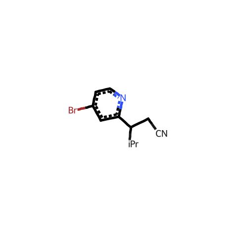 CC(C)C(CC#N)c1cc(Br)ccn1